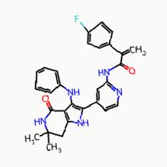 C=C(C(=O)Nc1cc(-c2[nH]c3c(c2Nc2ccccc2)C(=O)NC(C)(C)C3)ccn1)c1ccc(F)cc1